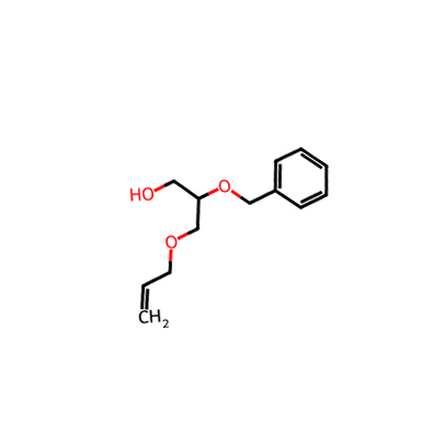 C=CCOCC(CO)OCc1ccccc1